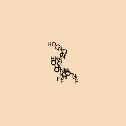 O=C(Nc1cccc(-c2cccc(Nc3nc(C(F)F)nc4cc(CN5CC(F)C5)cnc34)c2Cl)c1Cl)c1cc2n(n1)CCC[C@@H]2N1CCC(O)CC1